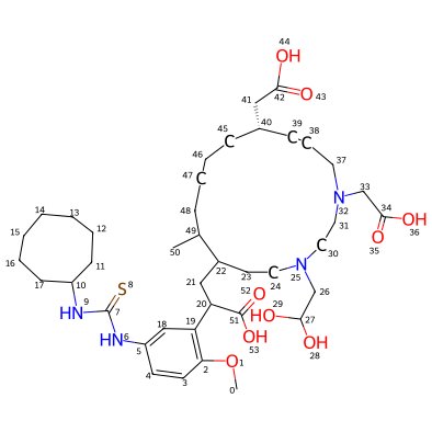 COc1ccc(NC(=S)NC2CCCCCCC2)cc1C(CC1CCN(CC(O)O)CCN(CC(=O)O)CCC[C@@H](CC(=O)O)CCCCC1C)C(=O)O